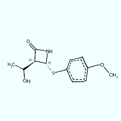 COc1ccc(S[C@H]2NC(=O)[C@@H]2C(C)O)cc1